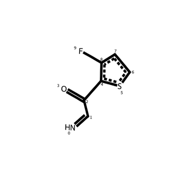 N=CC(=O)c1sccc1F